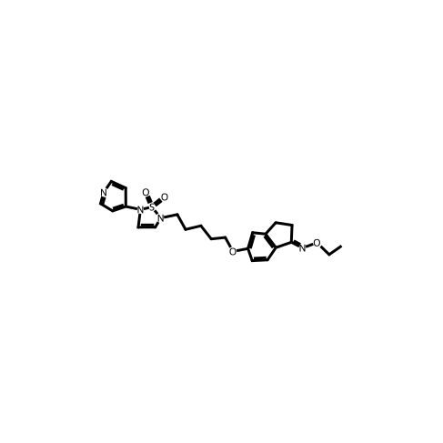 CCO/N=C1\CCc2cc(OCCCCCN3C=CN(c4ccncc4)S3(=O)=O)ccc21